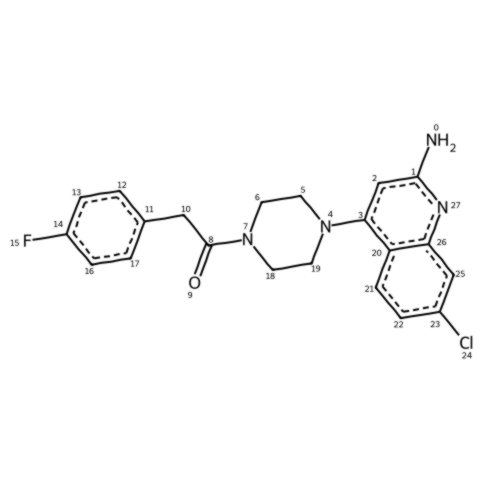 Nc1cc(N2CCN(C(=O)Cc3ccc(F)cc3)CC2)c2ccc(Cl)cc2n1